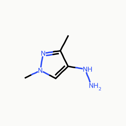 Cc1nn(C)cc1NN